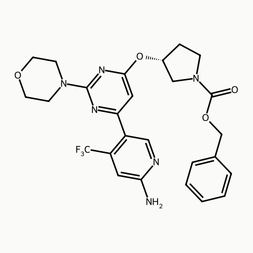 Nc1cc(C(F)(F)F)c(-c2cc(O[C@@H]3CCN(C(=O)OCc4ccccc4)C3)nc(N3CCOCC3)n2)cn1